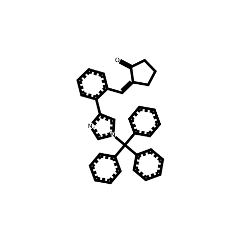 O=C1CCCC1=Cc1ccccc1-c1cn(C(c2ccccc2)(c2ccccc2)c2ccccc2)cn1